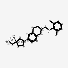 Cc1cccc(C)c1SC[C@@H]1CCc2cc([C@H]3CC[C@](N)(CO)C3)ccc2C1